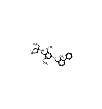 CCC(CO)(CO)NCc1c(OC)cc(OCc2cccc(-c3ccccc3)c2C)cc1OC